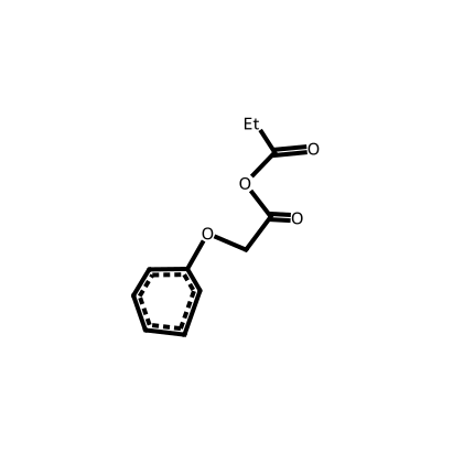 CCC(=O)OC(=O)COc1ccccc1